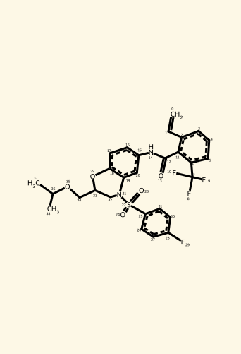 C=Cc1cccc(C(F)(F)F)c1C(=O)Nc1ccc2c(c1)N(S(=O)(=O)c1ccc(F)cc1)CC(COC(C)C)O2